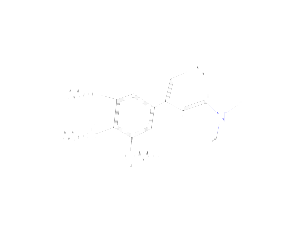 COc1cc(C(C=CN(C)C)=CC#N)cc(OC)c1OC